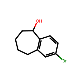 OC1CCCCc2cc(Br)ccc21